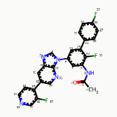 CC(=O)Nc1cc(-n2cnc3cc(-c4ccncc4F)cnc32)cc(-c2ccc(F)cc2)c1F